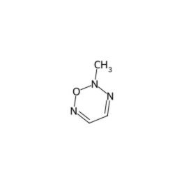 CN1N=CC=NO1